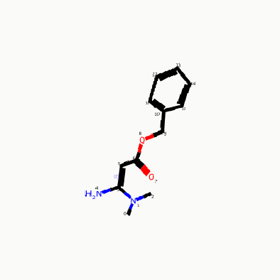 CN(C)/C(N)=C\C(=O)OCc1ccccc1